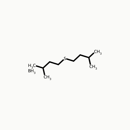 B.CC(C)CCSCCC(C)C